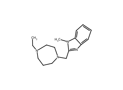 CCN1CCCN(Cc2nc3ccccc3n2C)CC1